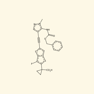 Cn1ncc(C#Cc2cc3sc(C4(C(=O)O)CC4)c(F)c3s2)c1NC(=O)OCc1ccccc1